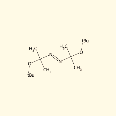 CC(C)(C)OC(C)(C)N=NC(C)(C)OC(C)(C)C